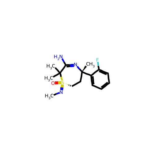 CN=[S@]1(=O)CC[C@@](C)(c2ccccc2F)N=C(N)C1(C)C